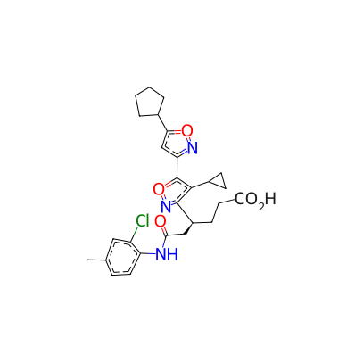 Cc1ccc(NC(=O)C[C@H](CCC(=O)O)c2noc(-c3cc(C4CCCC4)on3)c2C2CC2)c(Cl)c1